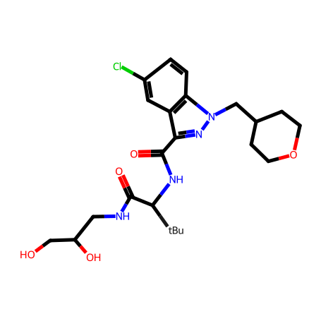 CC(C)(C)C(NC(=O)c1nn(CC2CCOCC2)c2ccc(Cl)cc12)C(=O)NCC(O)CO